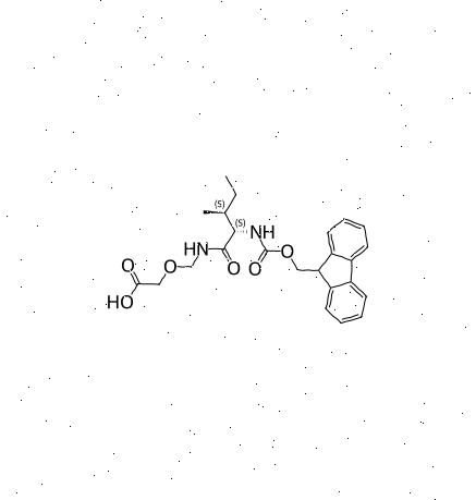 CC[C@H](C)[C@H](NC(=O)OCC1c2ccccc2-c2ccccc21)C(=O)NCOCC(=O)O